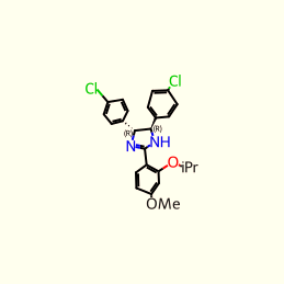 COc1ccc(C2=N[C@H](c3ccc(Cl)cc3)[C@@H](c3ccc(Cl)cc3)N2)c(OC(C)C)c1